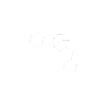 c1ccc(CN2CC3CCCC2CN3Cc2ccccc2)cc1